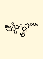 COC(=O)C1CC(Oc2cc(-n3cccn3)nc3cc(OC)ccc23)CN1C(=O)OC(C)(C)C